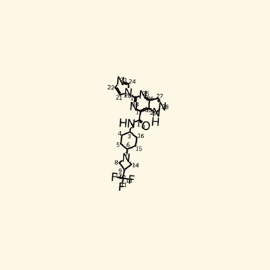 O=C(NC1CCC(N2CC(C(F)(F)F)C2)CC1)c1nc(-n2ccnc2)nc2cn[nH]c12